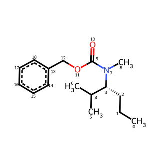 CCC[C@H](C(C)C)N(C)C(=O)OCc1ccccc1